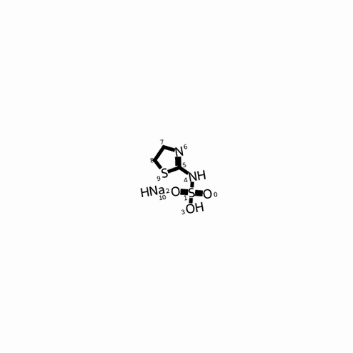 O=S(=O)(O)NC1=NCCS1.[NaH]